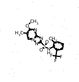 COc1nc2nc(S(=O)(=O)Nc3c(C)cccc3C(F)(F)F)nn2cc1C